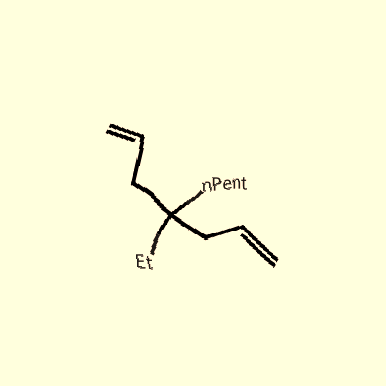 C=CCC(CC)(C[CH]CCC)CC=C